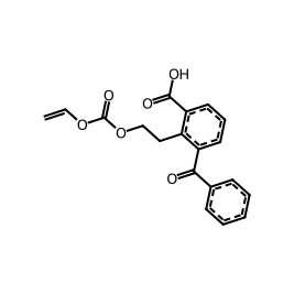 C=COC(=O)OCCc1c(C(=O)O)cccc1C(=O)c1ccccc1